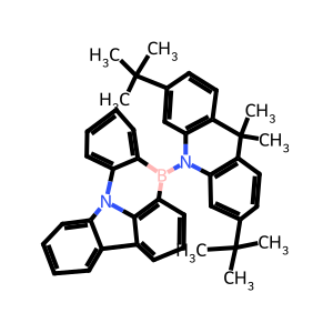 CC(C)(C)c1ccc2c(c1)N(B1c3ccccc3-n3c4ccccc4c4cccc1c43)c1cc(C(C)(C)C)ccc1C2(C)C